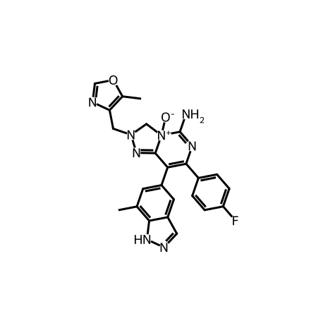 Cc1ocnc1CN1C[N+]2([O-])C(N)=NC(c3ccc(F)cc3)=C(c3cc(C)c4[nH]ncc4c3)C2=N1